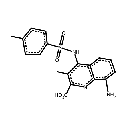 Cc1ccc(S(=O)(=O)Nc2c(C)c(C(=O)O)nc3c(N)cccc23)cc1